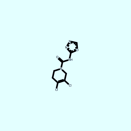 O=C(Nc1nnco1)N1CCC(Cl)=C(Cl)C1